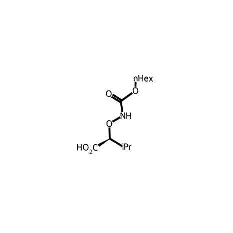 CCCCCCOC(=O)NO[C@H](C(=O)O)C(C)C